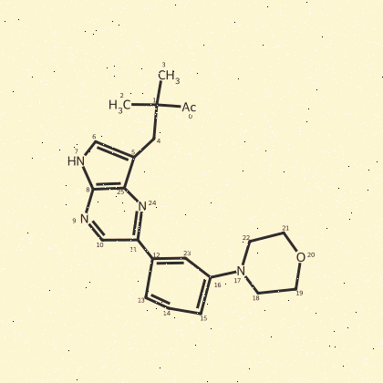 CC(=O)C(C)(C)Cc1c[nH]c2ncc(-c3cccc(N4CCOCC4)c3)nc12